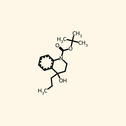 CCCC1(O)CCN(C(=O)OC(C)(C)C)c2ccccc21